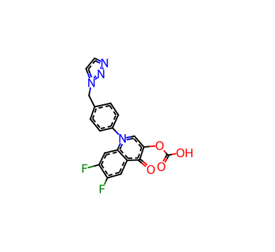 O=C(O)Oc1cn(-c2ccc(Cn3ccnn3)cc2)c2cc(F)c(F)cc2c1=O